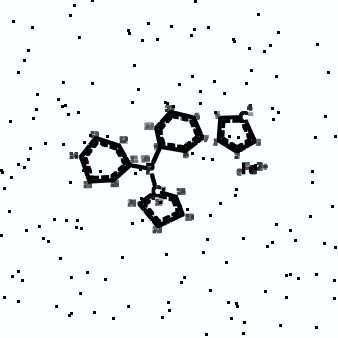 [Fe+2].c1cc[cH-]c1.c1ccc(P(c2ccccc2)[c-]2cccc2)cc1